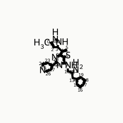 CC1=CC(c2csc3c(NC[C@@H](N)Cc4ccccc4)nc(-c4ccncc4)nc23)NN1